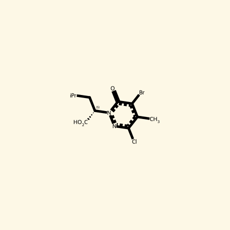 Cc1c(Cl)nn([C@@H](CC(C)C)C(=O)O)c(=O)c1Br